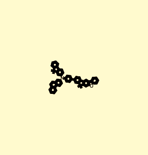 CC1(C)c2ccccc2-c2ccc(N(c3ccc(-c4ccc5c(c4)C(C)(C)c4cc6oc7ccccc7c6cc4-5)cc3)c3ccc4c(ccc5ccccc54)c3)cc21